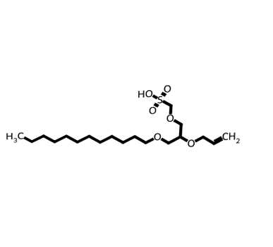 C=CCOC(COCCCCCCCCCCCC)COCS(=O)(=O)O